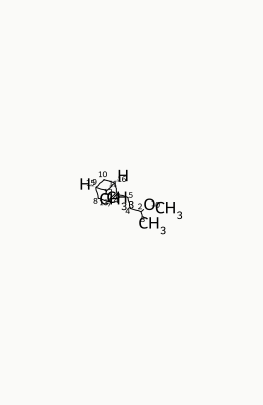 COC(C)CCC1=CC[C@H]2C[C@@H]1C2(C)C